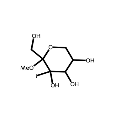 COC1(CO)OCC(O)C(O)C1(O)I